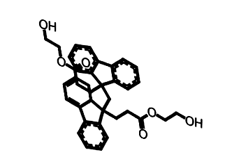 O=C(CCC1(CC2(CCC(=O)OCCO)c3ccccc3C3=CC=CCC32)c2ccccc2-c2ccccc21)OCCO